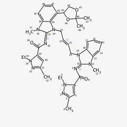 CCn1nc(C)cc1C(=O)/N=c1\n(C)c2ccccc2n1C/C=C/Cn1/c(=N/C(=O)c2cc(C)nn2CC)n(C)c2cccc(C3COC(C)(C)O3)c21